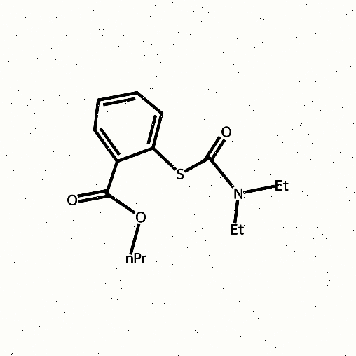 CCCOC(=O)c1ccccc1SC(=O)N(CC)CC